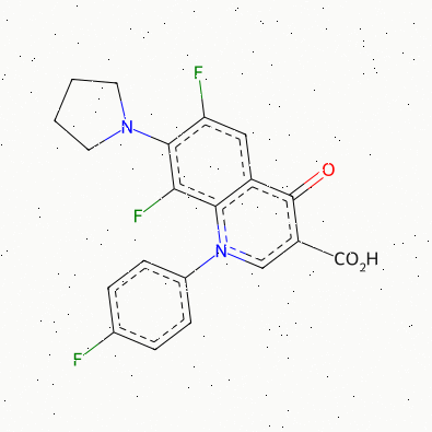 O=C(O)c1cn(-c2ccc(F)cc2)c2c(F)c(N3CCCC3)c(F)cc2c1=O